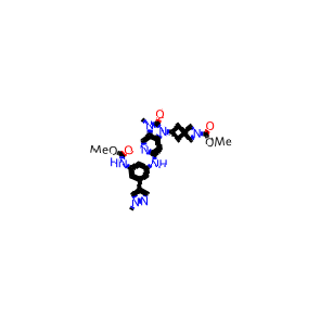 COC(=O)Nc1cc(Nc2cc3c(cn2)n(C)c(=O)n3C2CC3(C2)CN(C(=O)OC)C3)cc(-c2cnn(C)c2)c1